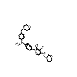 CN(c1ccc(CN2CCOCC2)cc1)c1ccc(-n2ncc(NC[C@H]3CCCOC3)c(Cl)c2=O)cc1